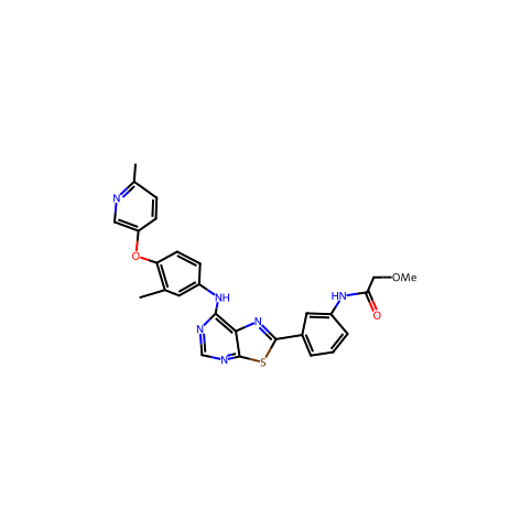 COCC(=O)Nc1cccc(-c2nc3c(Nc4ccc(Oc5ccc(C)nc5)c(C)c4)ncnc3s2)c1